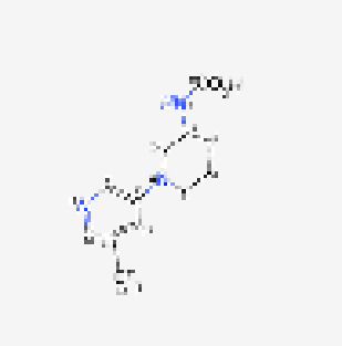 O=C(O)NC1CCCN(c2cncc(C(F)(F)F)c2)C1